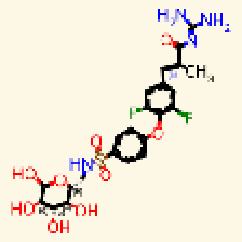 C/C(=C\c1cc(F)c(Oc2ccc(S(=O)(=O)NC[C@H]3OC(O)[C@H](O)[C@@H](O)[C@@H]3O)cc2)c(F)c1)C(=O)N=C(N)N